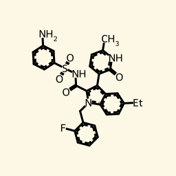 CCc1ccc2c(c1)c(-c1ccc(C)[nH]c1=O)c(C(=O)NS(=O)(=O)c1cccc(N)c1)n2Cc1ccccc1F